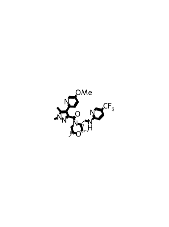 COc1ccc(-c2c(C(=O)N3C[C@@H](C)O[C@@H](C)[C@H]3CNc3ccc(C(F)(F)F)cn3)nn(C)c2C)nc1